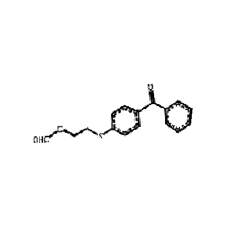 O=COCCSc1ccc(C(=O)c2ccccc2)cc1